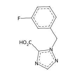 O=C(O)c1ncnn1Cc1cccc(F)c1